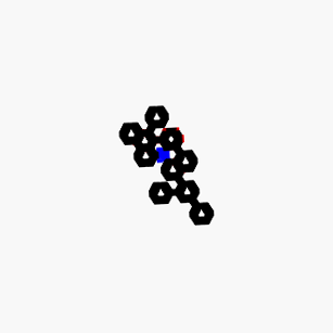 c1ccc(-c2ccc(-c3ccc(N(c4c(-c5ccccc5)cccc4-c4ccccc4)c4cccc5c4c(-c4ccccc4)c(-c4ccccc4)c4ccccc45)cc3)c(-c3ccccc3)c2)cc1